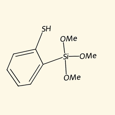 CO[Si](OC)(OC)c1ccccc1S